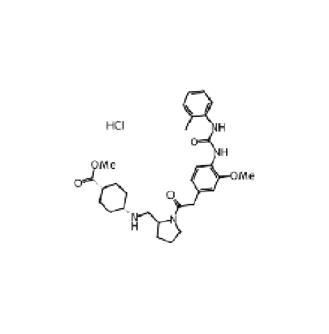 COc1cc(CC(=O)N2CCCC2CN[C@H]2CC[C@@H](C(=O)OC)CC2)ccc1NC(=O)Nc1ccccc1C.Cl